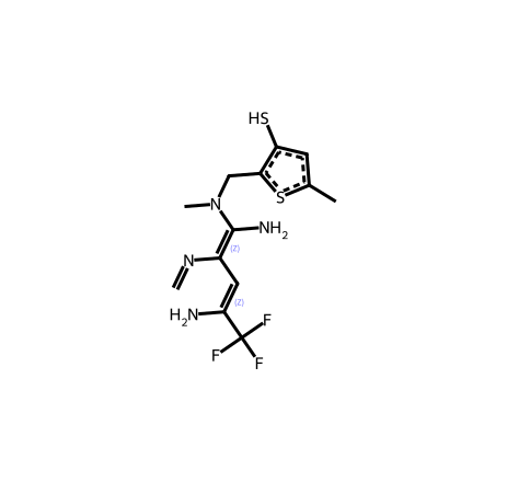 C=NC(/C=C(\N)C(F)(F)F)=C(/N)N(C)Cc1sc(C)cc1S